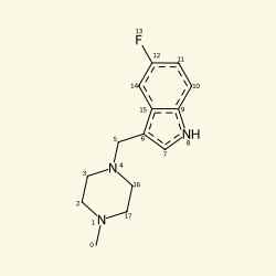 CN1CCN(Cc2c[nH]c3ccc(F)cc23)CC1